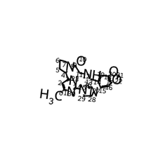 Cc1cc(C2CCCN2C(=O)CNCc2ccc3c(c2)OCO3)nc(N2C=NCC2)n1